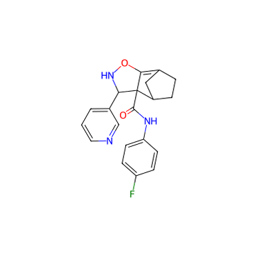 O=C(Nc1ccc(F)cc1)C12C(=C3CCC1C3)ONC2c1cccnc1